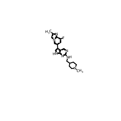 Cc1cn2cc(-c3c[nH]c4nc(NCC5CCN(C)CC5)ncc34)cc(F)c2n1